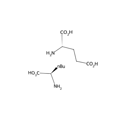 CCCC[C@@H](N)C(=O)O.N[C@@H](CCC(=O)O)C(=O)O